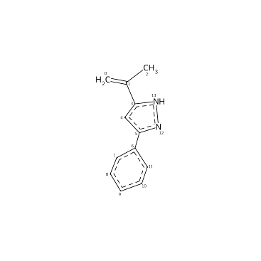 C=C(C)c1cc(-c2ccccc2)n[nH]1